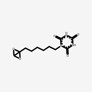 O=c1[nH]c(=O)n(CCCCCCC23OC2O3)c(=O)[nH]1